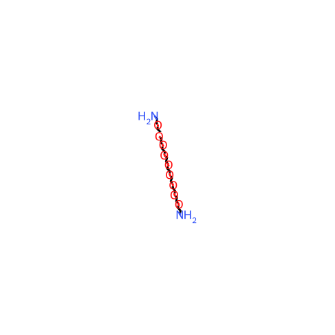 NCCOCCOCCOCCOCCOCCOCCOCCOCCOCCN